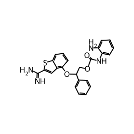 N=C(N)c1cc2c(OC(COC(=O)Nc3ccccc3N)c3ccccc3)cccc2s1